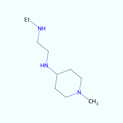 CCNCCNC1CCN(C)CC1